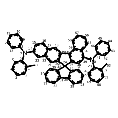 Cc1ccccc1N(c1ccccc1)c1ccc2cc3c(cc2c1)C1(c2ccccc2-c2ccccc21)c1cc(N(c2ccccc2)c2ccccc2C)c2ccccc2c1-3